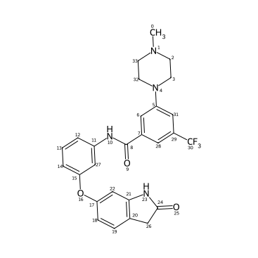 CN1CCN(c2cc(C(=O)Nc3cccc(Oc4ccc5c(c4)NC(=O)C5)c3)cc(C(F)(F)F)c2)CC1